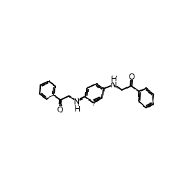 O=C(CNc1[c]cc(NCC(=O)c2ccccc2)cc1)c1ccccc1